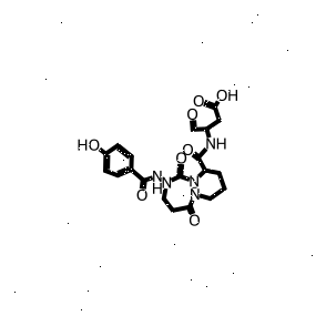 O=CC(CC(=O)O)NC(=O)C1CCCN2C(=O)CCN(NC(=O)c3ccc(O)cc3)C(=O)N12